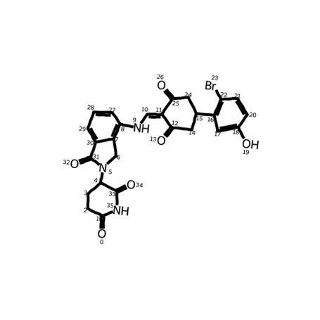 O=C1CCC(N2Cc3c(NC=C4C(=O)CC(c5cc(O)ccc5Br)CC4=O)cccc3C2=O)C(=O)N1